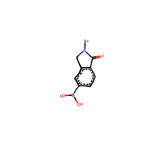 CC(=O)N1Cc2cc(B(O)O)ccc2C1=O